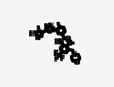 COc1c(CN2CCOCC2)cc(C(F)(F)F)cc1NC(=O)c1ccc(C)c(-n2cc(-c3cn[nH]c3C)nn2)c1